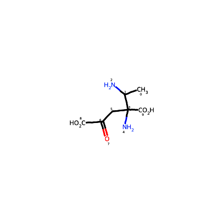 CC(N)C(N)(CC(=O)C(=O)O)C(=O)O